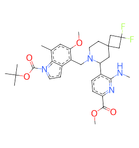 CNc1nc(C(=O)OC)ccc1C1CC2(CCN1Cc1c(OC)cc(C)c3c1ccn3C(=O)OC(C)(C)C)CC(F)(F)C2